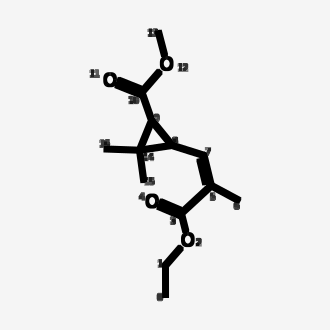 CCOC(=O)C(C)=CC1C(C(=O)OC)C1(C)C